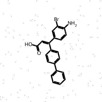 Nc1ccc(C(=CC(=O)O)c2ccc(-c3ccccc3)cc2)cc1Br